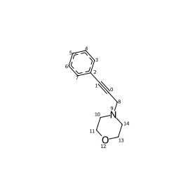 C(#Cc1cc[c]cc1)CN1CCOCC1